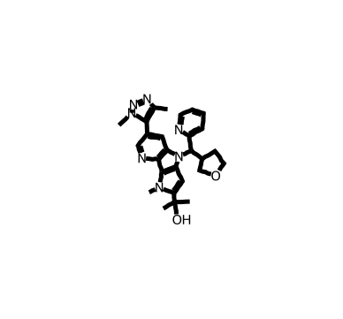 Cc1nnn(C)c1-c1cnc2c3c(cc(C(C)(C)O)n3C)n(C(c3ccccn3)C3CCOC3)c2c1